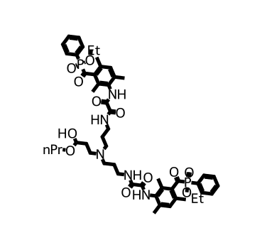 CCCOC(O)CCN(CCCNC(=O)C(=O)Nc1c(C)cc(C)c(C(=O)P(=O)(OCC)c2ccccc2)c1C)CCCNC(=O)C(=O)Nc1c(C)cc(C)c(C(=O)P(=O)(OCC)c2ccccc2)c1C